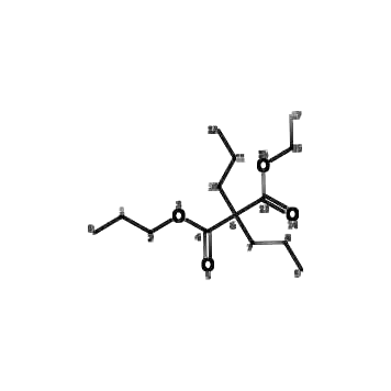 CCCOC(=O)C(CCC)(CCC)C(=O)OCC